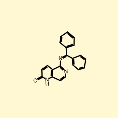 O=c1ccc2c(N=C(c3ccccc3)c3ccccc3)nccc2[nH]1